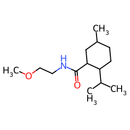 COCCNC(=O)C1CC(C)CCC1C(C)C